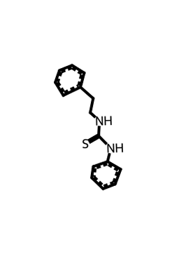 S=C(NCCc1ccccc1)Nc1ccccc1